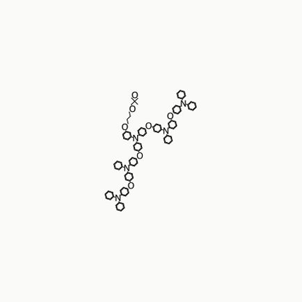 CC1(COCCCCOc2cccc(N(c3ccc(Oc4ccc(N(c5ccccc5)c5ccc(Oc6ccc(N(c7ccccc7)c7ccccc7)cc6)cc5)cc4)cc3)c3ccc(Oc4ccc(N(c5ccccc5)c5cccc(Oc6ccc(N(c7ccccc7)c7ccccc7)cc6)c5)cc4)cc3)c2)COC1